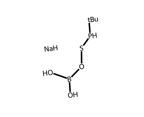 CC(C)(C)PSOB(O)O.[NaH]